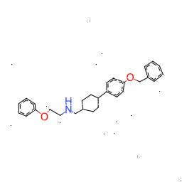 c1ccc(COc2ccc(C3CCC(CNCCOc4ccccc4)CC3)cc2)cc1